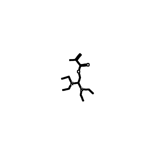 C=C(C)C(=O)OCC(N(CC)CC)N(CC)CC